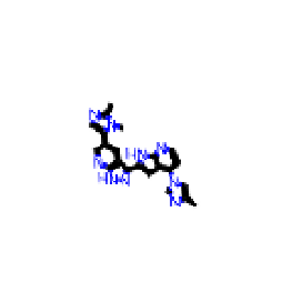 Cc1cn(-c2ccnc3[nH]c(-c4n[nH]c5ncc(-c6cnc(C)n6C)cc45)cc23)cn1